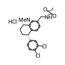 CN[C@H]1CC[C@@H](c2ccc(Cl)c(Cl)c2)c2ccc(CNS(C)(=O)=O)cc21.Cl